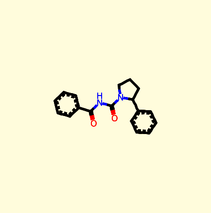 O=C(NC(=O)N1CCCC1c1ccccc1)c1ccccc1